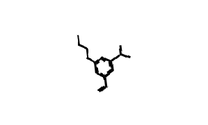 C=Cc1cc(CCCC)cc(C(C)C)c1